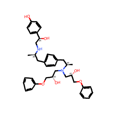 C[C@H](Cc1ccc(C[C@@H](C)N(C[C@H](O)COc2ccccc2)C[C@H](O)COc2ccccc2)cc1)NC[C@H](O)c1ccc(O)cc1